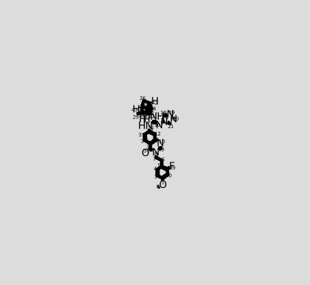 COc1ccc(CCn2cnc3cc(NC(=Nn4cnnc4)N[C@H]4C[C@H]5C[C@H]([C@H]4C)C5(C)C)ccc3c2=O)c(F)c1